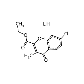 CCOC(=O)C(O)=C(C)C(=O)c1ccc(Cl)cc1.[LiH]